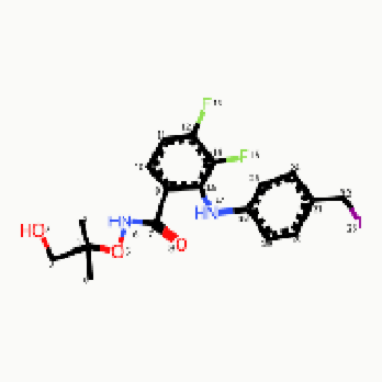 CC(C)(CO)ONC(=O)c1ccc(F)c(F)c1Nc1ccc(CI)cc1